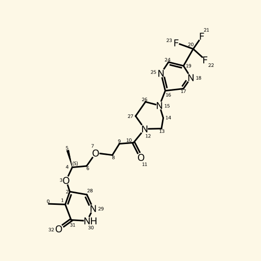 Cc1c(O[C@@H](C)COCCC(=O)N2CCN(c3cnc(C(F)(F)F)cn3)CC2)cn[nH]c1=O